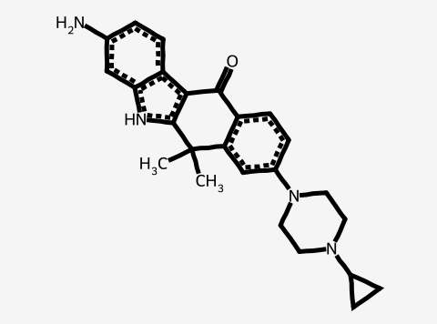 CC1(C)c2cc(N3CCN(C4CC4)CC3)ccc2C(=O)c2c1[nH]c1cc(N)ccc21